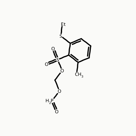 CCSc1cccc(C)c1S(=O)(=O)OCO[PH2]=O